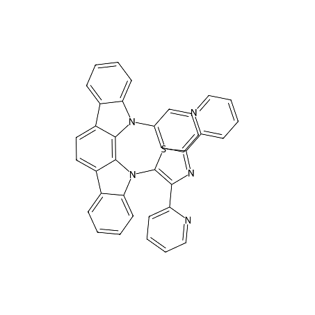 c1ccc(-n2c3ccccc3c3ccc4c5ccccc5n(-c5sc(-c6ccccn6)nc5-c5ccccn5)c4c32)cc1